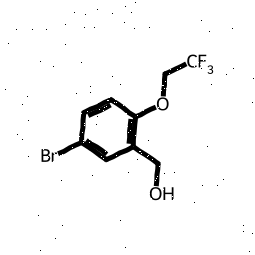 OCc1cc(Br)ccc1OCC(F)(F)F